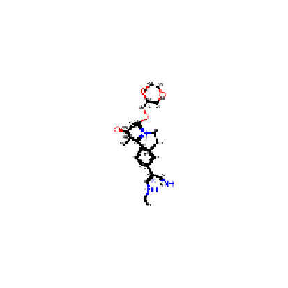 CCN/C=C(\C=N)c1ccc2c(c1)CCn1c(OC[C@@H]3COCCO3)cc(=O)c(C)c1-2